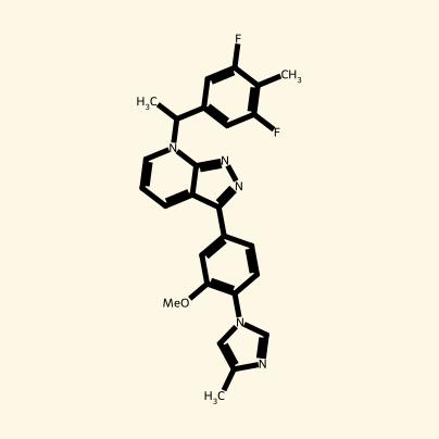 COc1cc(-c2nnc3n(C(C)c4cc(F)c(C)c(F)c4)cccc2-3)ccc1-n1cnc(C)c1